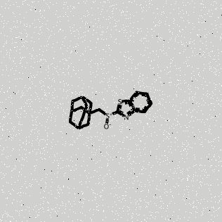 [O-][S+](CC12CC3CC(CC(C3)C1)C2)c1nc2ccccc2s1